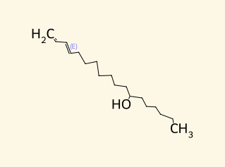 C=C/C=C/CCCCCCCC(O)CCCCCC